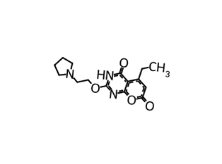 CCc1cc(=O)oc2nc(OCCN3CCCC3)[nH]c(=O)c12